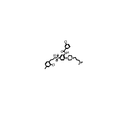 Cc1ccc(CCNS(=O)(=O)c2ccc(N3CCN(CCCN(C)C)CC3)c(NC(=O)c3cccc(Cl)c3)c2)c(Cl)c1